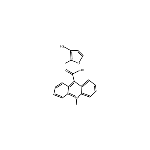 C[n+]1c2ccccc2c(C(=O)O)c2ccccc21.Cc1occc1S